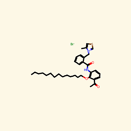 CCCCCCCCCCCCCCOc1c(NC(=O)c2ccccc2C[n+]2cscc2C)cccc1C(C)=O.[Br-]